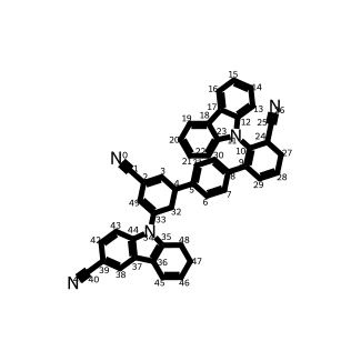 N#CC1=CC(c2ccc(C3=C(n4c5ccccc5c5ccccc54)C(C#N)CC=C3)cc2)CC(n2c3c(c4cc(C#N)ccc42)C=CCC3)=C1